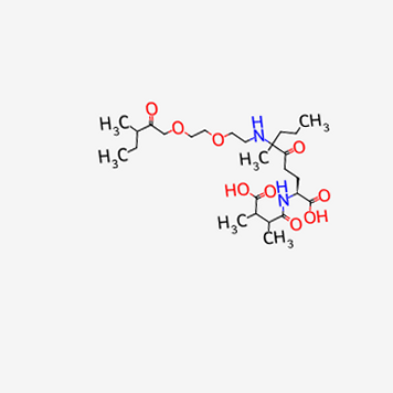 CCCC(C)(NCCOCCOCC(=O)C(C)CC)C(=O)CC[C@H](NC(=O)C(C)C(C)C(=O)O)C(=O)O